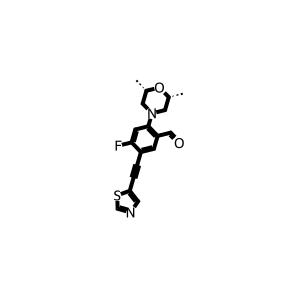 C[C@@H]1CN(c2cc(F)c(C#Cc3cncs3)cc2C=O)C[C@H](C)O1